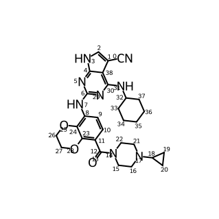 N#Cc1c[nH]c2nc(Nc3ccc(C(=O)N4CCN(C5CC5)CC4)c4c3OCCO4)nc(NC3CCCCC3)c12